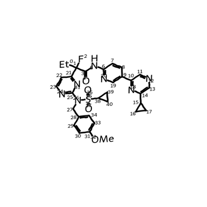 CCC(F)(C(=O)Nc1ccc(-c2cncc(C3CC3)n2)cn1)c1ccnc(N(Cc2ccc(OC)cc2)S(=O)(=O)C2CC2)n1